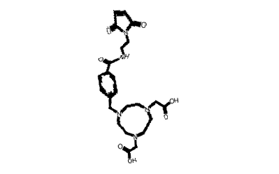 O=C(O)CN1CCN(CC(=O)O)CCN(Cc2ccc(C(=O)NCCN3C(=O)C=CC3=O)cc2)CC1